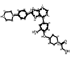 Nc1cc(-c2ncnc3[nH]c(-c4ccc(N5CCOCC5)cc4)nc23)ccc1OC1CCN(C(=O)CO)CC1